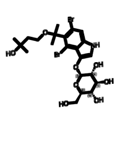 CC(C)(O)CCOC(C)(C)c1c(Br)cc2[nH]cc(O[C@@H]3O[C@H](CO)[C@@H](O)[C@H](O)[C@H]3O)c2c1Br